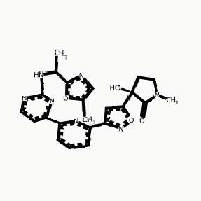 Cc1cnc(C(C)Nc2nccc(-c3cccc(-c4cc([C@]5(O)CCN(C)C5=O)on4)n3)n2)o1